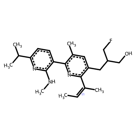 C/C=C(/C)c1nc(-c2ccc(C(C)C)nc2NC)c(C)cc1CC(CO)CF